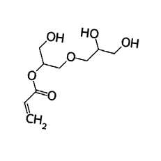 C=CC(=O)OC(CO)COCC(O)CO